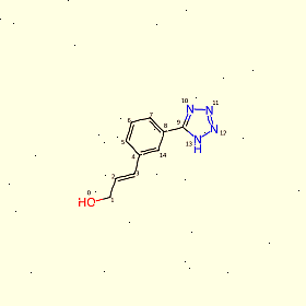 OC/C=C/c1cccc(-c2nnn[nH]2)c1